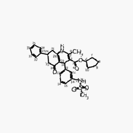 CC1=C(C(=O)OC2CCCC2)C(c2cccc(NS(C)(=O)=O)c2)C2=C(CC(c3ccccc3)CC2=O)N1